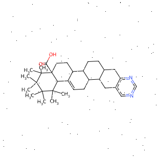 CC1(C)C2C3=CCC4C5Cc6cncnc6CC5CCC4C3CCC2(C(=O)O)C(C)(C)C(C)(C)C1(C)C